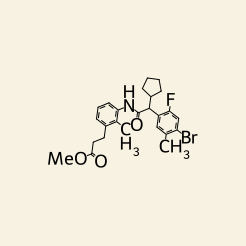 COC(=O)CCc1cccc(NC(=O)C(c2cc(C)c(Br)cc2F)C2CCCC2)c1C